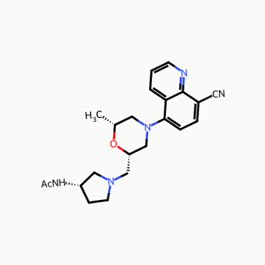 CC(=O)N[C@H]1CCN(C[C@H]2CN(c3ccc(C#N)c4ncccc34)C[C@@H](C)O2)C1